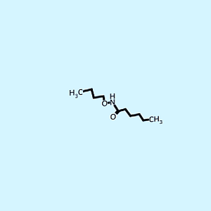 CCCCCC(=O)NOCCCC